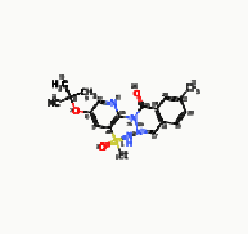 CCS(=N)(=O)c1cc(OC(C)(C)C#N)cnc1-n1ncc2ccc(C(F)(F)F)cc2c1=O